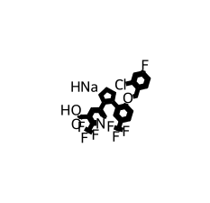 O=C(O)c1cc(C2=C(c3cc(C(F)(F)F)ccc3OCc3ccc(F)cc3Cl)CCC2)cnc1C(F)(F)F.[NaH]